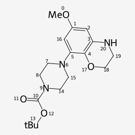 COc1cc2c(c(N3CCN(C(=O)OC(C)(C)C)CC3)c1)OCCN2